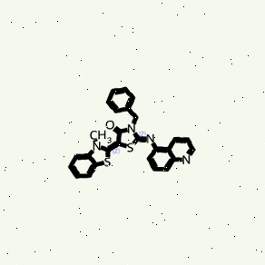 CN1/C(=C2/S/C(=N\c3cccc4ncccc34)N(Cc3ccccc3)C2=O)Sc2ccccc21